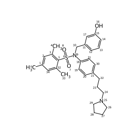 Cc1cc(C)c(S(=O)(=O)N(Cc2cccc(O)c2)c2ccc(CCCN3CCCC3)cc2)c(C)c1